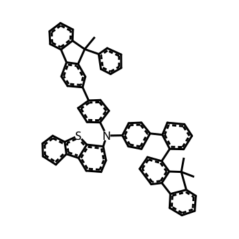 CC1(C)c2ccccc2-c2cccc(-c3ccccc3-c3ccc(N(c4ccc(-c5ccc6c(c5)C(C)(c5ccccc5)c5ccccc5-6)cc4)c4cccc5c4sc4ccccc45)cc3)c21